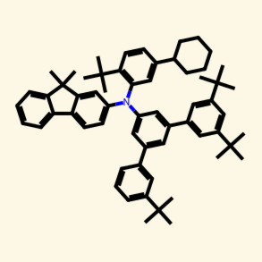 CC(C)(C)c1cccc(-c2cc(-c3cc(C(C)(C)C)cc(C(C)(C)C)c3)cc(N(c3ccc4c(c3)C(C)(C)c3ccccc3-4)c3cc(C4CCCCC4)ccc3C(C)(C)C)c2)c1